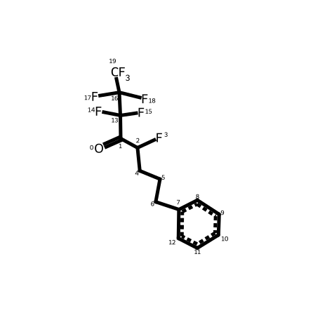 O=C(C(F)CCCc1ccccc1)C(F)(F)C(F)(F)C(F)(F)F